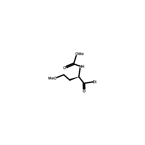 CCC(=O)[C@@H](CCOC)NC(=O)OC